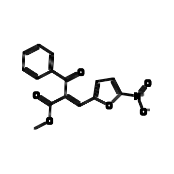 COC(=O)/C(=C/c1ccc([N+](=O)[O-])o1)C(=O)c1ccccc1